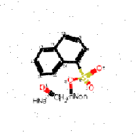 C=O.CCCCCCCCCOS(=O)(=O)c1cccc2ccccc12.[NaH]